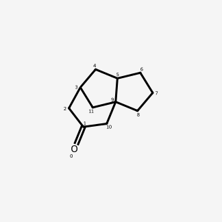 O=C1CC2CC3CCCC3(C1)C2